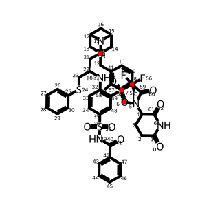 O=C1CCC(N2Cc3c(ccc(CN4CC5CC(C4)N5CC[C@H](CSc4ccccc4)Nc4ccc(S(=O)(=O)NC(=O)c5ccccc5)cc4S(=O)(=O)C(F)(F)F)c3F)C2=O)C(=O)N1